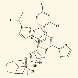 O=S(=O)(NC1CC2=C(c3ccn(C(F)F)n3)[C@H](c3ccc(F)cc3Cl)N=C(c3nccs3)N2C1)C1C2CCC1CC(O)(c1nc(-c3ccccn3)c[nH]1)C2